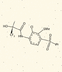 CSc1c(S(=O)(=O)C(C)C)ccc(NC(=O)[C@@](C)(O)C(F)(F)F)c1Cl